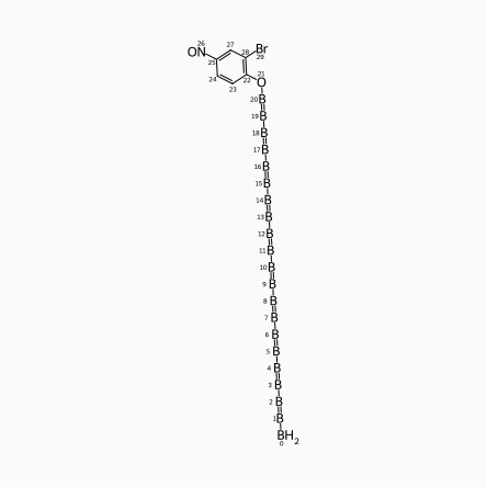 BB=BB=BB=BB=BB=BB=BB=BB=BB=BB=BOc1ccc(N=O)cc1Br